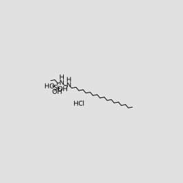 CCCCCCCCCCCCCCCCCCNCNC(CC)[Si](O)(O)O.Cl